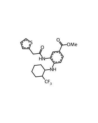 COC(=O)c1ccc(NC2CCCCC2C(F)(F)F)c(NC(=O)Cc2cccs2)c1